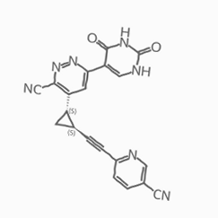 N#Cc1ccc(C#C[C@H]2C[C@@H]2c2cc(-c3c[nH]c(=O)[nH]c3=O)nnc2C#N)nc1